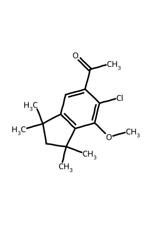 COc1c(Cl)c(C(C)=O)cc2c1C(C)(C)CC2(C)C